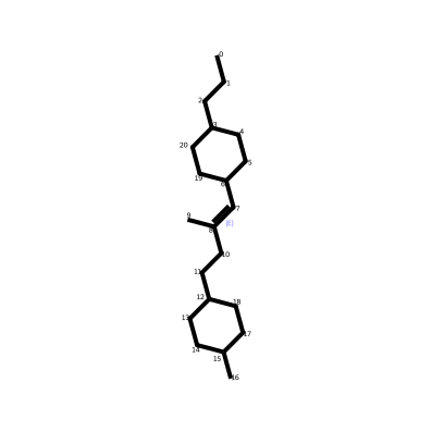 CCCC1CCC(/C=C(\C)CCC2CCC(C)CC2)CC1